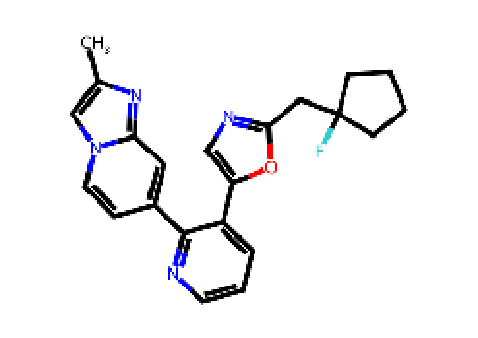 Cc1cn2ccc(-c3ncccc3-c3cnc(CC4(F)CCCC4)o3)cc2n1